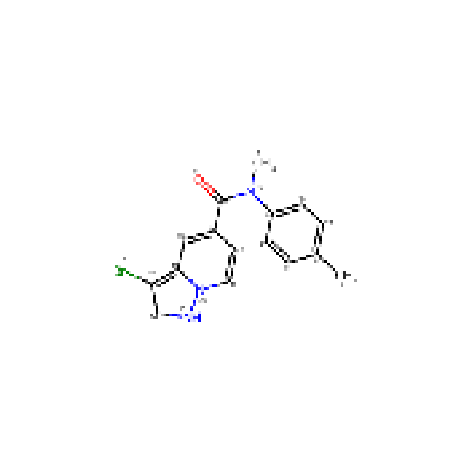 Cc1ccc(N(C)C(=O)C2=CC3=C(Br)CNN3C=C2)cc1